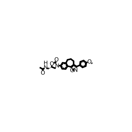 COc1ccc(-c2noc3c2CCCc2cc(N4C[C@H](CNC(C)=O)OC4=O)ccc2-3)cc1